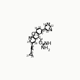 N=C(N)OC[C@@H]1c2cc(-c3cncnc3)ccc2Oc2ncc(C#CC3CC3)cc21